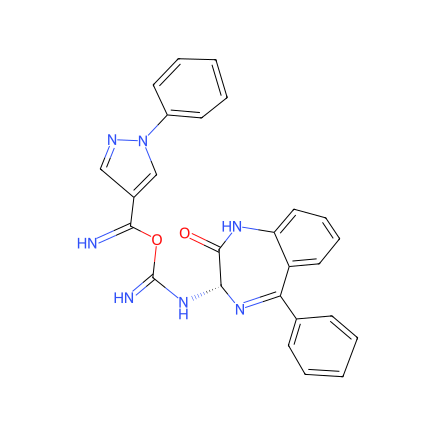 N=C(N[C@H]1N=C(c2ccccc2)c2ccccc2NC1=O)OC(=N)c1cnn(-c2ccccc2)c1